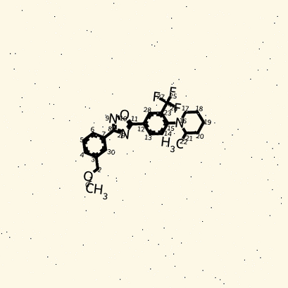 COCc1cccc(-c2noc(-c3ccc(N4CCCCC4C)c(C(F)(F)F)c3)n2)c1